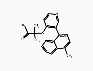 Cc1ccc(-c2cnccc2SC(C)(C)C(=O)O)c2ccccc12